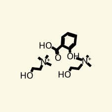 C[N+](C)(C)CCO.C[N+](C)(C)CCO.O=C(O)c1ccccc1O